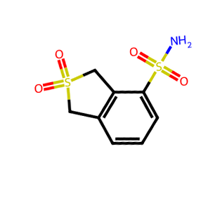 NS(=O)(=O)c1cccc2c1CS(=O)(=O)C2